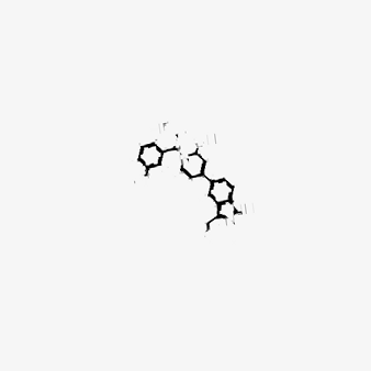 CCc1n[nH]c2ccc(C3=CC(O)N([C@H](CO)c4cccc(Cl)c4)C=C3)cc12